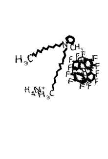 CCCCCCCCCCCCCCN(CCCCCCCCCCCC)c1ccccc1C.Fc1c(F)c(F)c([B-](c2c(F)c(F)c(F)c(F)c2F)(c2c(F)c(F)c(F)c(F)c2F)c2c(F)c(F)c(F)c(F)c2F)c(F)c1F.[NH4+]